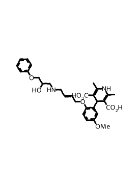 COc1ccc(OCC=CCNCC(O)COc2ccccc2)c(C2C(C(=O)O)=C(C)NC(C)=C2C(=O)O)c1